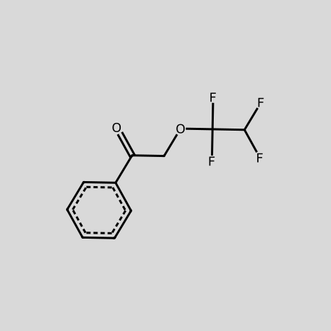 O=C(COC(F)(F)C(F)F)c1ccccc1